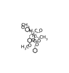 C=C(C=O)[C@@H]1[C@@H]([C@@H](C)OC(=O)OCc2ccccc2)C(=O)N1C(Cc1ccc(OC)cc1)Cc1ccc(OC)cc1